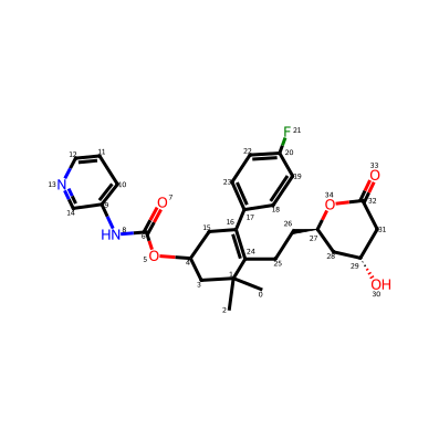 CC1(C)CC(OC(=O)Nc2cccnc2)CC(c2ccc(F)cc2)=C1CC[C@@H]1C[C@@H](O)CC(=O)O1